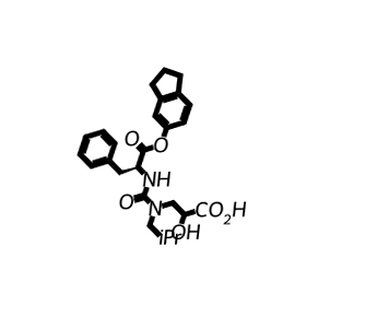 CC(C)CN(CC(O)C(=O)O)C(=O)N[C@@H](Cc1ccccc1)C(=O)Oc1ccc2c(c1)CCC2